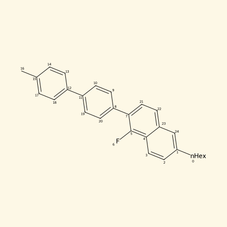 CCCCCCc1ccc2c(F)c(-c3ccc(-c4ccc(C)cc4)cc3)ccc2c1